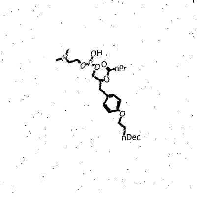 CCCCCCCCCCCCOc1ccc(CC(COP(O)OCCN(C)C)OC(=O)CCC)cc1